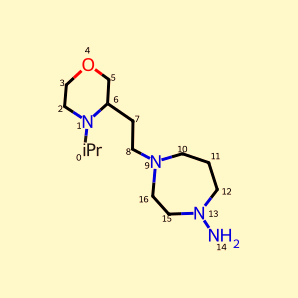 CC(C)N1CCOCC1CCN1CCCN(N)CC1